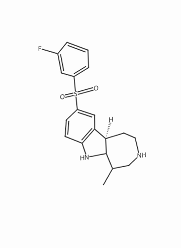 CC1CNCC[C@@H]2c3cc(S(=O)(=O)c4cccc(F)c4)ccc3NC12